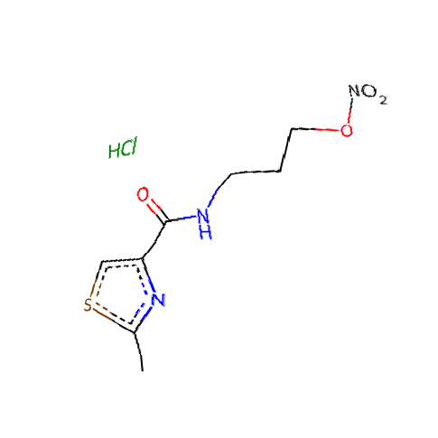 Cc1nc(C(=O)NCCCO[N+](=O)[O-])cs1.Cl